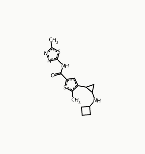 Cc1nnc(NC(=O)c2cc(C3CC3NC3CCC3)c(C)s2)s1